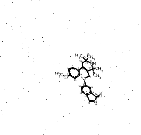 COc1ccc(C2=C(COc3ccc4c(c3)C(=O)N=C4)C(C)(C)NC(C)(C)C2)cc1